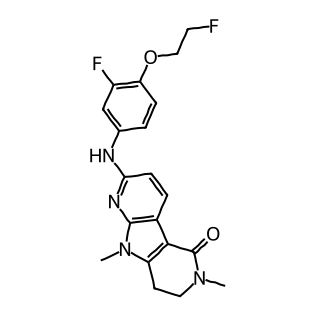 CN1CCc2c(c3ccc(Nc4ccc(OCCF)c(F)c4)nc3n2C)C1=O